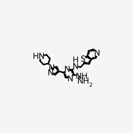 NNc1ncc(-c2cnn(C3CCNCC3)c2)nc1NCc1cc2cnccc2s1